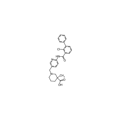 CC1(C(=O)O)CCCN(Cc2ccc(NC(=O)c3cccc(-c4ccccc4)c3Cl)nc2)C1